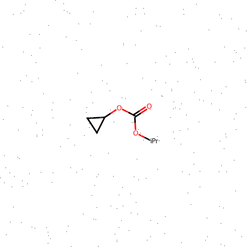 C[C](C)OC(=O)OC1CC1